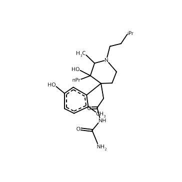 CCCC1(O)C(C)N(CCC(C)C)CCC1(CC(=O)NC(N)=O)c1cc(O)ccc1C